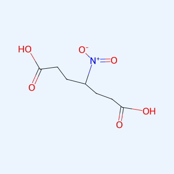 O=C(O)CCC(CCC(=O)O)[N+](=O)[O-]